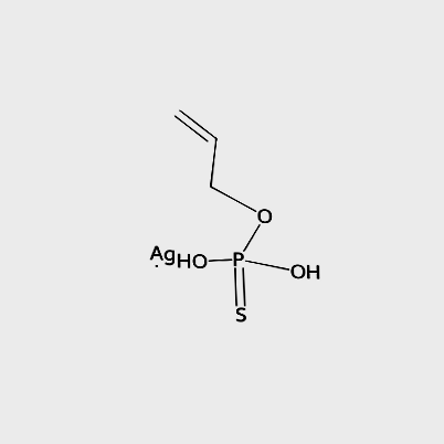 C=CCOP(O)(O)=S.[Ag]